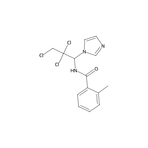 Cc1ccccc1C(=O)NC(n1ccnc1)C(Cl)(Cl)CCl